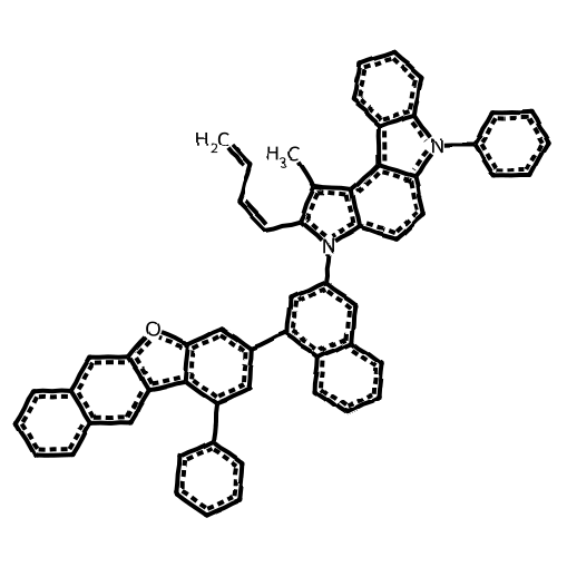 C=C/C=C\c1c(C)c2c3c4ccccc4n(-c4ccccc4)c3ccc2n1-c1cc(-c2cc(-c3ccccc3)c3c(c2)oc2cc4ccccc4cc23)c2ccccc2c1